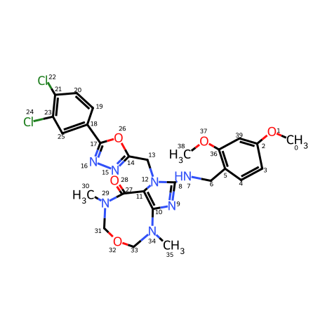 COc1ccc(CNc2nc3c(n2Cc2nnc(-c4ccc(Cl)c(Cl)c4)o2)C(=O)N(C)COCN3C)c(OC)c1